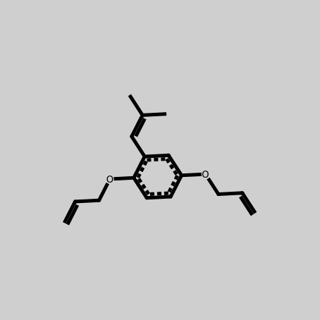 C=CCOc1ccc(OCC=C)c(C=C(C)C)c1